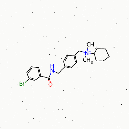 C[N+](C)(Cc1ccc(CNC(=O)c2cccc(Br)c2)cc1)C1CCCCC1